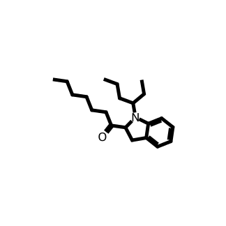 CCCCCCC(=O)C1Cc2ccccc2N1C(CC)CCC